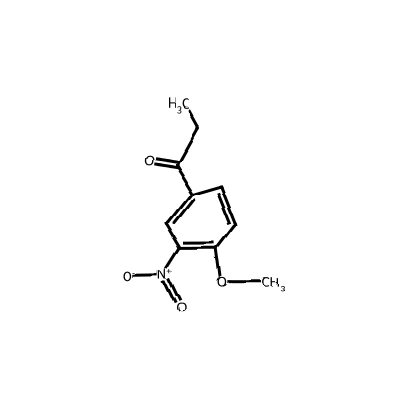 CCC(=O)c1ccc(OC)c([N+](=O)[O-])c1